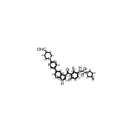 O=CC1CCN(c2ncc(-c3cnc4[nH]cc(C(=O)c5c(F)ccc(NS(=O)(=O)N6CCC(F)C6)c5F)c4c3)cn2)CC1